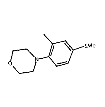 CSc1ccc(N2C[CH]OCC2)c(C)c1